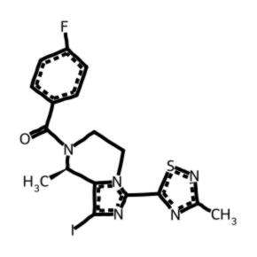 Cc1nsc(-c2nc(I)c3n2CCN(C(=O)c2ccc(F)cc2)[C@@H]3C)n1